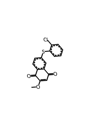 COC1=CC(=O)c2cc(Sc3ccccc3Cl)ccc2C1=O